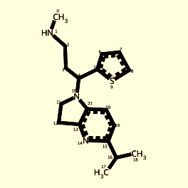 CNCCC(c1cccs1)N1CCc2nc(C(C)C)ccc21